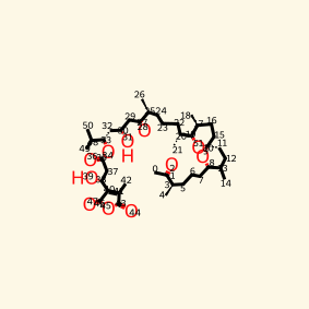 CC(=O)[C@H](C)CCCC1O[C@]2(CCC1C)CC[C@H](C)C([C@H](C)CCC[C@H](C)C(=O)C[C@@H](O)C[C@H](OC(=O)C[C@@H](O)C1=C(C)C(=O)OC1=O)C(C)C)O2